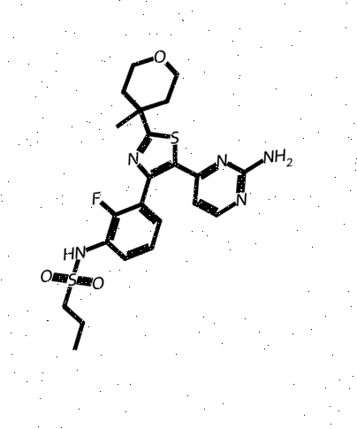 CCCS(=O)(=O)Nc1cccc(-c2nc(C3(C)CCOCC3)sc2-c2ccnc(N)n2)c1F